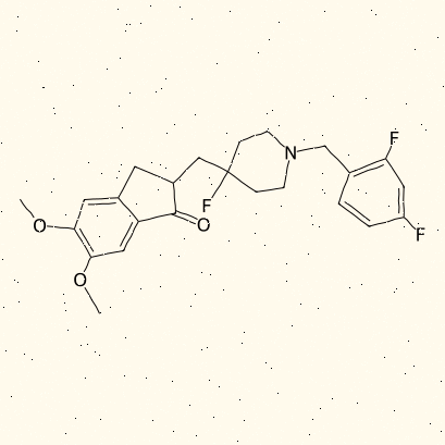 COc1cc2c(cc1OC)C(=O)C(CC1(F)CCN(Cc3ccc(F)cc3F)CC1)C2